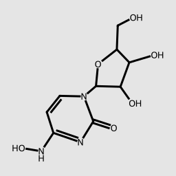 O=c1nc(NO)ccn1C1OC(CO)C(O)C1O